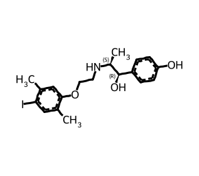 Cc1cc(OCCN[C@@H](C)[C@H](O)c2ccc(O)cc2)c(C)cc1I